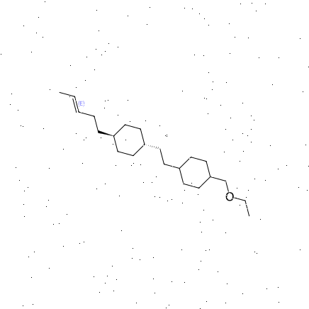 C/C=C/CC[C@H]1CC[C@H](CCC2CCC(COCC)CC2)CC1